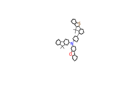 CC1(C)c2ccccc2-c2ccc(N(c3ccc(-c4cccc5c4C(C)(C)c4c-5sc5ccccc45)cc3)c3ccc4c(c3)oc3ccccc34)cc21